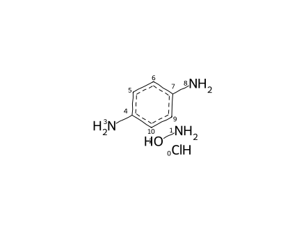 Cl.NO.Nc1ccc(N)cc1